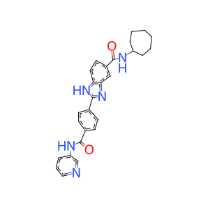 O=C(Nc1cccnc1)c1ccc(-c2nc3cc(C(=O)NC4CCCCCC4)ccc3[nH]2)cc1